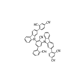 N#Cc1ccc(-c2ccc3c4ccccc4n(-c4cc(-c5ccccc5C#N)cc(-n5c6ccccc6c6ccc(-c7ccc(C#N)cc7C#N)cc65)c4C#N)c3c2)c(C#N)c1